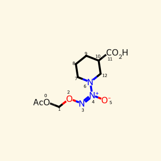 CC(=O)OCO/N=[N+](/[O-])N1CCCC(C(=O)O)C1